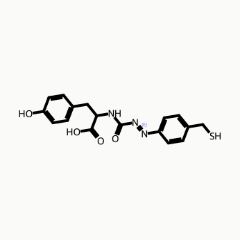 O=C(/N=N/c1ccc(CS)cc1)NC(Cc1ccc(O)cc1)C(=O)O